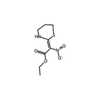 CCOC(=O)C(=C1NCCCS1)[N+](=O)[O-]